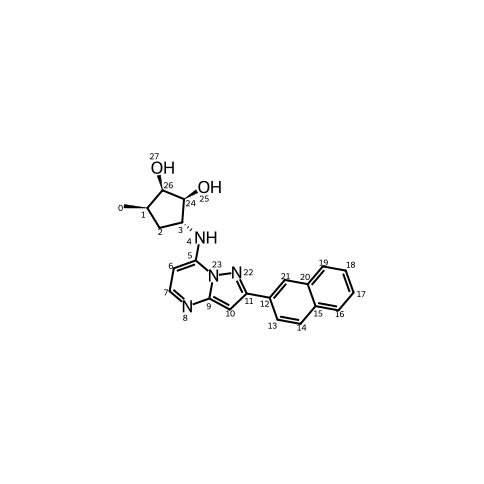 C[C@@H]1C[C@@H](Nc2ccnc3cc(-c4ccc5ccccc5c4)nn23)[C@H](O)[C@@H]1O